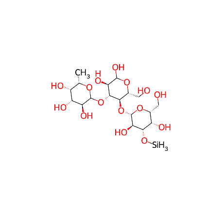 C[C@@H]1OC(O[C@H]2[C@H](O[C@@H]3O[C@H](CO)[C@H](O)[C@H](O[SiH3])[C@H]3O)[C@@H](CO)OC(O)[C@@H]2O)[C@@H](O)[C@H](O)[C@@H]1O